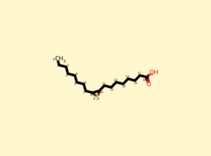 CCCCCCCCC1SC1CCCCCCCC(=O)O